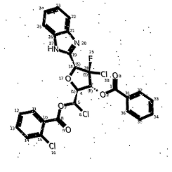 O=C(O[C@@H]1[C@@H](C(Cl)OC(=O)c2ccccc2Cl)O[C@@H](c2nc3ccccc3[nH]2)[C@]1(F)Cl)c1ccccc1